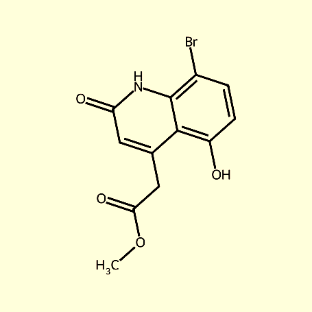 COC(=O)Cc1cc(=O)[nH]c2c(Br)ccc(O)c12